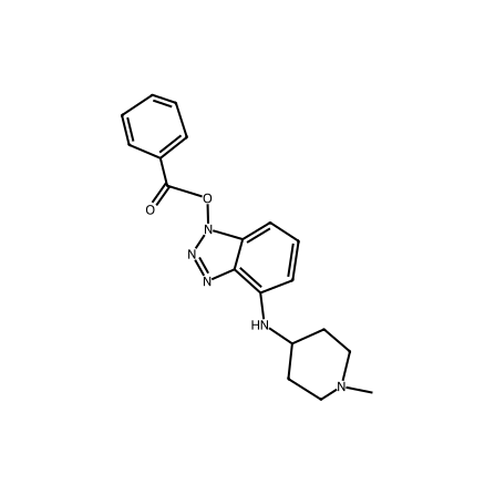 CN1CCC(Nc2cccc3c2nnn3OC(=O)c2ccccc2)CC1